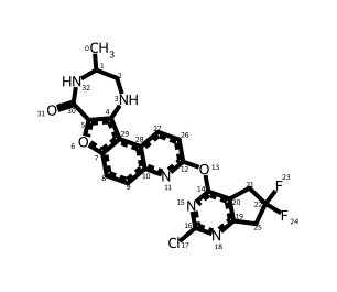 CC1CNc2c(oc3ccc4nc(Oc5nc(Cl)nc6c5CC(F)(F)C6)ccc4c23)C(=O)N1